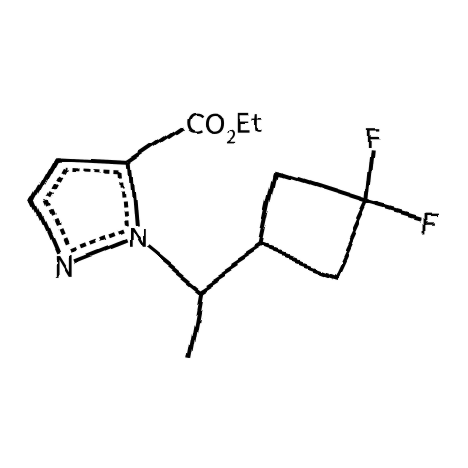 CCOC(=O)c1ccnn1C(C)C1CC(F)(F)C1